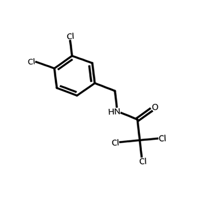 O=C(NCc1ccc(Cl)c(Cl)c1)C(Cl)(Cl)Cl